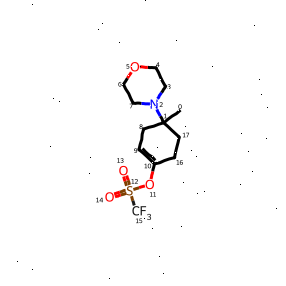 CC1(N2CCOCC2)CC=C(OS(=O)(=O)C(F)(F)F)CC1